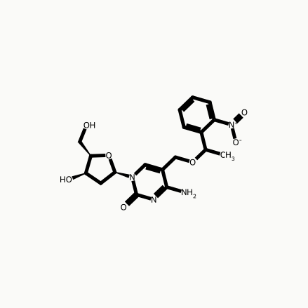 CC(OCc1cn([C@H]2C[C@@H](O)[C@@H](CO)O2)c(=O)nc1N)c1ccccc1[N+](=O)[O-]